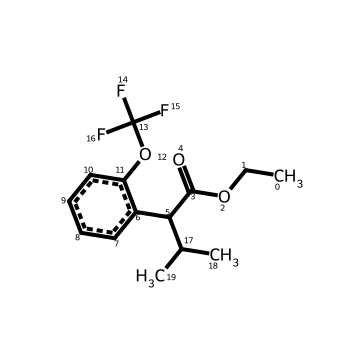 CCOC(=O)C(c1ccccc1OC(F)(F)F)C(C)C